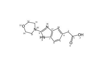 O=C(O)Cc1ccc2[nH]c(N3CCOCC3)nc2c1